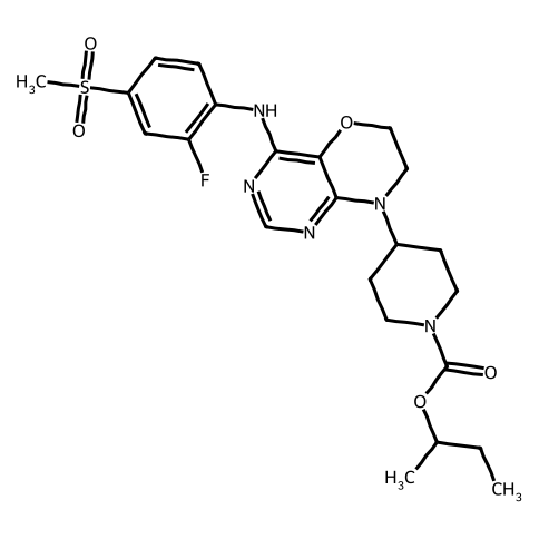 CCC(C)OC(=O)N1CCC(N2CCOc3c(Nc4ccc(S(C)(=O)=O)cc4F)ncnc32)CC1